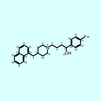 OC(CCCN1CCC(Cc2cccc3ccccc23)CC1)c1ccc(F)cc1